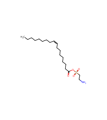 CCCCCCCC/C=C\CCCCCCCC(=O)OS(=O)(=O)CCN